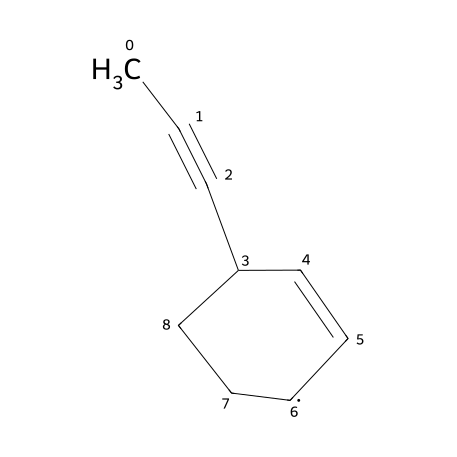 CC#CC1C=C[CH]CC1